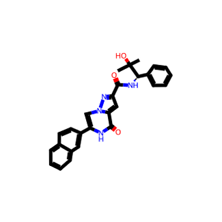 CC(C)(O)[C@@H](NC(=O)c1cc2c(=O)[nH]c(-c3ccc4ccccc4c3)cn2n1)c1ccccc1